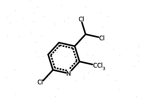 Clc1ccc(C(Cl)Cl)c(C(Cl)(Cl)Cl)n1